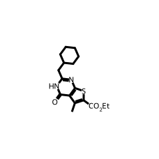 CCOC(=O)c1sc2nc(CC3CCCCC3)[nH]c(=O)c2c1C